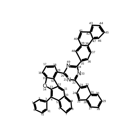 c1ccc(-c2c3ccccc3cc3c2oc2cccc(-c4nc(-c5ccc6ccccc6c5)nc(-c5ccc6c(ccc7ccccc76)c5)n4)c23)cc1